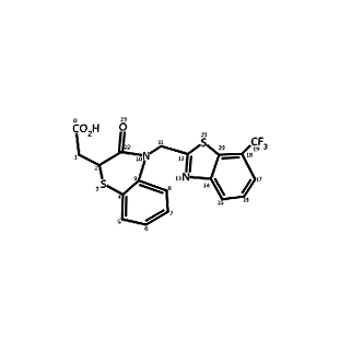 O=C(O)CC1Sc2ccccc2N(Cc2nc3cccc(C(F)(F)F)c3s2)C1=O